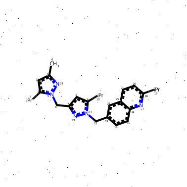 Cc1cc(C(C)C)n(Cc2cc(C(C)C)n(Cc3ccc4nc(C(C)C)ccc4c3)n2)n1